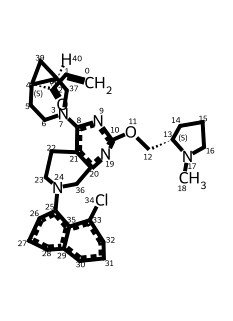 C=CC(=O)[C@@]12CCN(c3nc(OC[C@@H]4CCCN4C)nc4c3CCN(c3cccc5cccc(Cl)c35)C4)C[C@@H]1C2